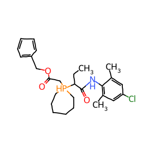 CCC(C(=O)Nc1c(C)cc(Cl)cc1C)[PH]1(CC(=O)OCc2ccccc2)CCCCCC1